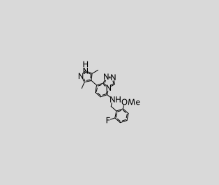 COc1cccc(F)c1CNc1ccc(-c2c(C)n[nH]c2C)c2nncn12